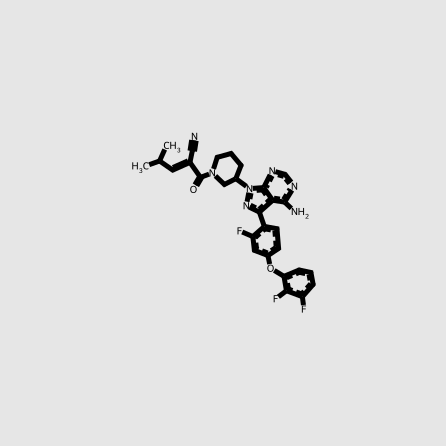 CC(C)C=C(C#N)C(=O)N1CCCC(n2nc(-c3ccc(Oc4cccc(F)c4F)cc3F)c3c(N)ncnc32)C1